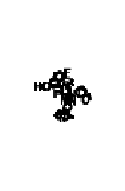 C=C1CN2CCCC2(COc2nc(N3CCCC4(CCO4)C3)c3cnc(-c4cc(O)cc5ccc(F)c(CC)c45)c(F)c3n2)C1